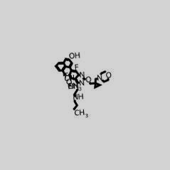 C#Cc1cccc2cc(O)cc(-c3c(F)c(OC)c4c(NCCNCCCC)nc(OCC5(CN6CCOCC6)CC5)nc4c3F)c12